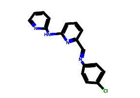 Clc1ccc(/N=C/c2cccc(Nc3ccccn3)n2)cc1